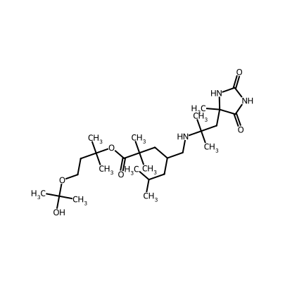 CC(C)CC(CNC(C)(C)CC1(C)NC(=O)NC1=O)CC(C)(C)C(=O)OC(C)(C)CCOC(C)(C)O